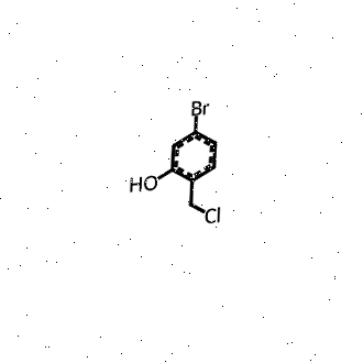 Oc1cc(Br)ccc1CCl